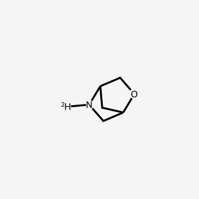 [2H]N1CC2CC1CO2